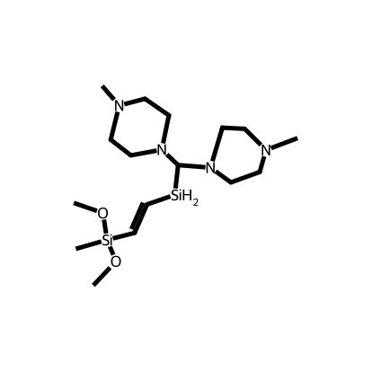 CO[Si](C)(C=C[SiH2]C(N1CCN(C)CC1)N1CCN(C)CC1)OC